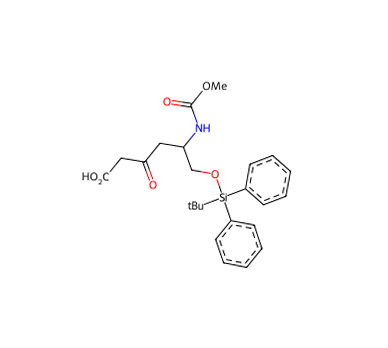 COC(=O)NC(CO[Si](c1ccccc1)(c1ccccc1)C(C)(C)C)CC(=O)CC(=O)O